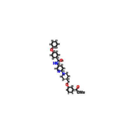 COC(=O)c1cccc(OCC2CCN(c3ccc(NC(=O)c4ccc(Oc5ccccc5)cc4)cn3)CC2)c1